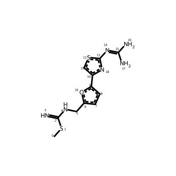 CSC(=N)NCc1ccc(-c2csc(N=C(N)N)n2)o1